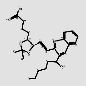 CCCCCC(O)c1cc2ccccc2nc1/C=C/[C@H]1OC(C)(C)O[C@H]1CCCC(=O)O